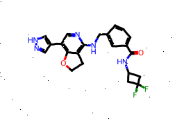 O=C(NC1CC(F)(F)C1)c1cccc(CNc2ncc(-c3cn[nH]c3)c3c2CCO3)c1